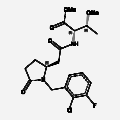 COC(=O)[C@@H](NC(=O)C[C@@H]1CCC(=O)N1Cc1cccc(F)c1Cl)[C@@H](C)OC